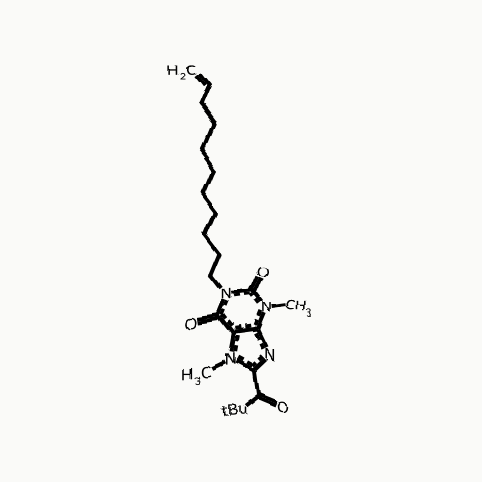 C=CCCCCCCCCCn1c(=O)c2c(nc(C(=O)C(C)(C)C)n2C)n(C)c1=O